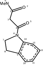 CNC(=O)CC(=O)N1CCc2ccccc21